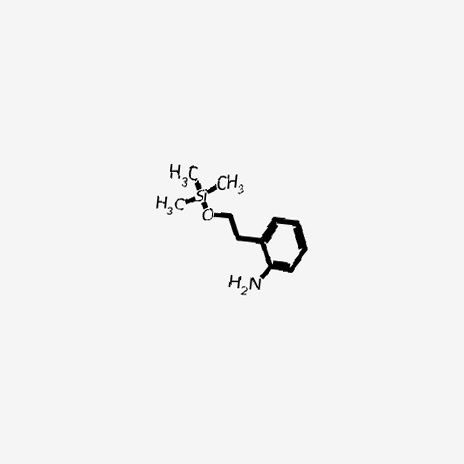 C[Si](C)(C)OCCc1ccccc1N